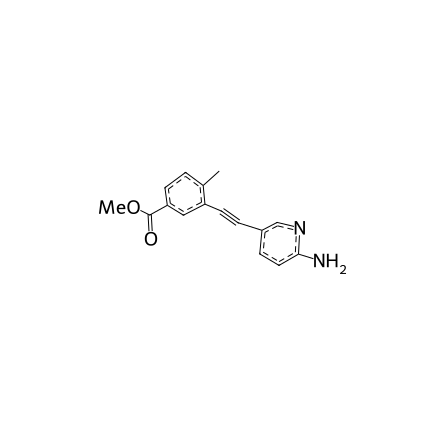 COC(=O)c1ccc(C)c(C#Cc2ccc(N)nc2)c1